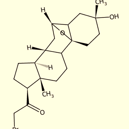 C[C@@]1(O)CC[C@]23CO[C@H](C[C@@H]4C2CC[C@]2(C)[C@@H](C(=O)CBr)CC[C@@H]42)C3C1